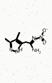 Cc1n[nH]c(C(N)=N[N+](=O)[O-])c1C